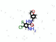 Nc1cc(Cl)c(F)cc1C(=O)NCc1ccc2c(c1)CCO2